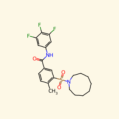 Cc1ccc(C(=O)Nc2cc(F)c(F)c(F)c2)cc1S(=O)(=O)N1CCCCCCCC1